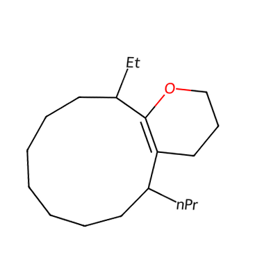 CCCC1CCCCCCCC(CC)C2=C1CCCO2